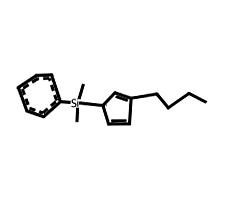 CCCCC1=C[C]([Si](C)(C)c2ccccc2)C=C1